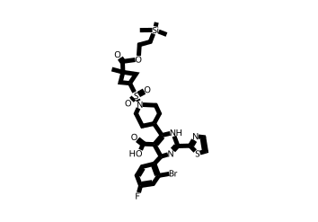 CC1(C(=O)OCC[Si](C)(C)C)CC(S(=O)(=O)N2CCC(C3=C(C(=O)O)C(c4ccc(F)cc4Br)N=C(c4nccs4)N3)CC2)C1